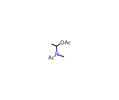 CC(=O)OC(C)N(C)C(C)=O